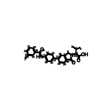 CC(C)[C@@H](C(=O)O)N1Cc2cc(-c3ccc(NC(=O)c4cccc(F)c4)cc3)ccc2C1=O